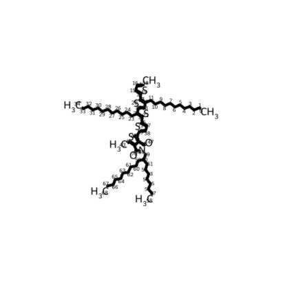 CCCCCCCCCCCCc1c(-c2ccc(C)s2)sc2c(CCCCCCCCCCCC)c(-c3ccc(-c4sc(C)c5c4C(=O)N(CC(CCCCCCCC)CCCCCCCCCC)C5=O)s3)sc12